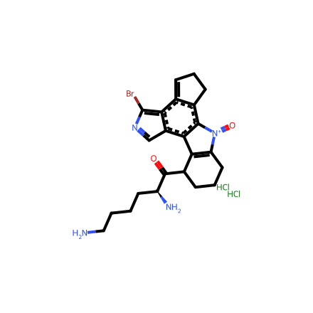 Cl.Cl.NCCCC[C@H](N)C(=O)C1CCCC2=C1c1c(c3c(c4c1C=NC=4Br)=CCC3)[N+]2=O